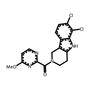 COc1ccnc(C(=O)N2CCc3[nH]c4c(Cl)c(Cl)ccc4c3C2)n1